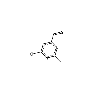 Cc1nc(Cl)cc(C=S)n1